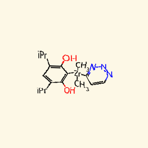 CC(C)c1cc(C(C)C)c(O)[c]([Zr]([CH3])([CH3])[c]2ccnnn2)c1O